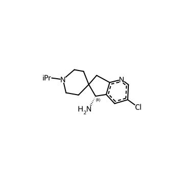 CC(C)N1CCC2(CC1)Cc1ncc(Cl)cc1[C@@H]2N